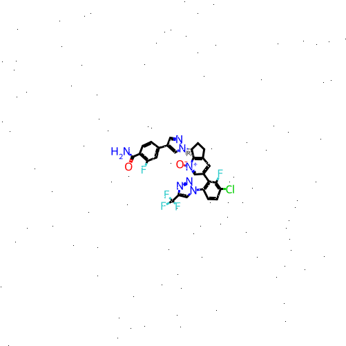 NC(=O)c1ccc(-c2cnn([C@@H]3CCc4cc(-c5c(-n6cc(C(F)(F)F)nn6)ccc(Cl)c5F)c[n+]([O-])c43)c2)cc1F